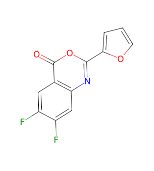 O=c1oc(-c2ccco2)nc2cc(F)c(F)cc12